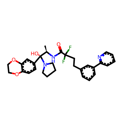 C[C@@H](NC(=O)C(F)(F)CCc1cccc(-c2ccccn2)c1)[C@](O)(c1ccc2c(c1)OCCO2)N1CCCC1